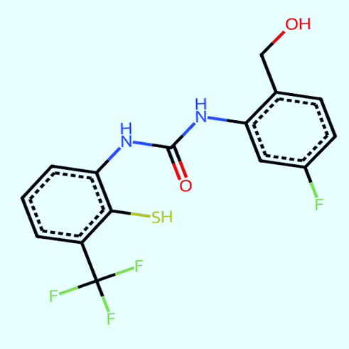 O=C(Nc1cc(F)ccc1CO)Nc1cccc(C(F)(F)F)c1S